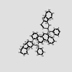 C1=CC(N(c2ccccc2)c2cc3c4ccccc4c(N(c4ccccc4)c4ccc5sc6ccccc6c5c4)cc3c3ccccc23)Cc2c1sc1ccccc21